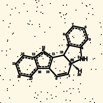 C1=C[C@@H]2Nc3ccccc3C2c2sc3ccccc3c21